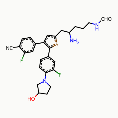 N#Cc1ccc(-c2cc(CC(N)CCCNC=O)sc2-c2ccc(N3CCC(O)C3)c(F)c2)cc1F